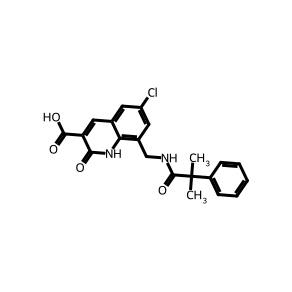 CC(C)(C(=O)NCc1cc(Cl)cc2cc(C(=O)O)c(=O)[nH]c12)c1ccccc1